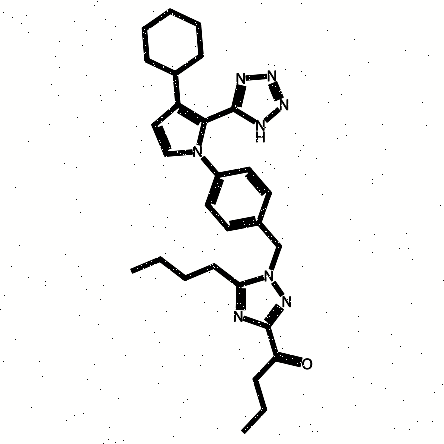 CCCCc1nc(C(=O)CCC)nn1Cc1ccc(-n2ccc(C3CCCCC3)c2-c2nnn[nH]2)cc1